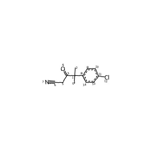 CC(C)(C(=O)CC#N)c1ccc(Cl)cc1